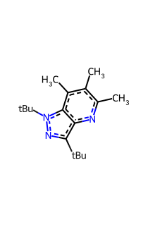 Cc1nc2c(C(C)(C)C)nn(C(C)(C)C)c2c(C)c1C